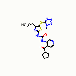 Cn1nnnc1Sc1sc(NC(=O)Nc2cnccc2C(=O)C2CCCC2)nc1CC(=O)O